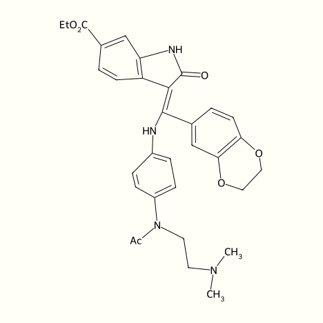 CCOC(=O)c1ccc2c(c1)NC(=O)C2=C(Nc1ccc(N(CCN(C)C)C(C)=O)cc1)c1ccc2c(c1)OCCO2